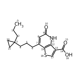 CCCC1(CCCc2cc(=O)[nH]c3c(C(=O)O)csc23)CC1